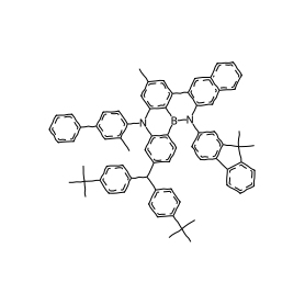 Cc1cc2c3c(c1)N(c1ccc(-c4ccccc4)cc1C)c1cc(C(c4ccc(C(C)(C)C)cc4)c4ccc(C(C)(C)C)cc4)ccc1B3N(c1ccc3c(c1)C(C)(C)c1ccccc1-3)c1cc3ccccc3cc1-2